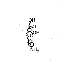 C[C@H]1C(SCCc2cn3cc(N)ccc3n2)=C(C(=O)O)N2C(=O)[C@H](CCO)[C@H]12